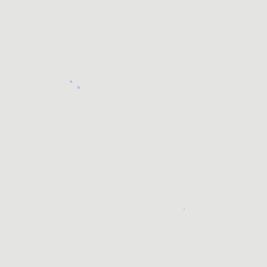 C=C(C)c1ccc(-n2cccc2)cc1CC